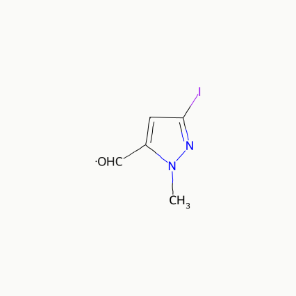 Cn1nc(I)cc1[C]=O